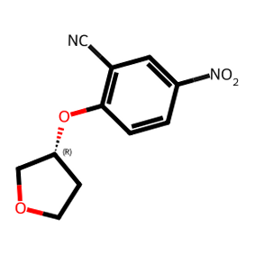 N#Cc1cc([N+](=O)[O-])ccc1O[C@@H]1CCOC1